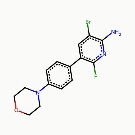 Nc1nc(F)c(-c2ccc(N3CCOCC3)cc2)cc1Br